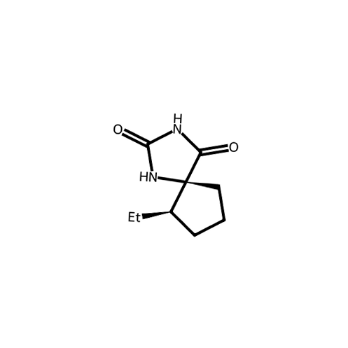 CC[C@@H]1CCC[C@]12NC(=O)NC2=O